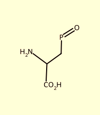 NC(CP=O)C(=O)O